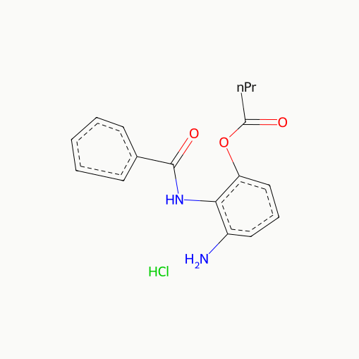 CCCC(=O)Oc1cccc(N)c1NC(=O)c1ccccc1.Cl